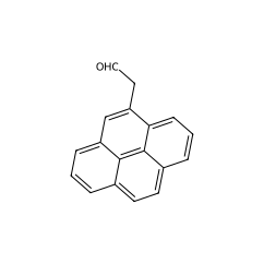 O=CCc1cc2cccc3ccc4cccc1c4c32